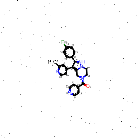 Cc1cc(C2=C3CN(C(=O)c4ccncc4)CCN3NC2c2ccc(F)cc2)ccn1